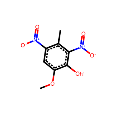 COc1cc([N+](=O)[O-])c(C)c([N+](=O)[O-])c1O